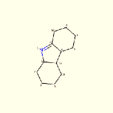 C1CCC2C(=NC3CCCCC32)C1